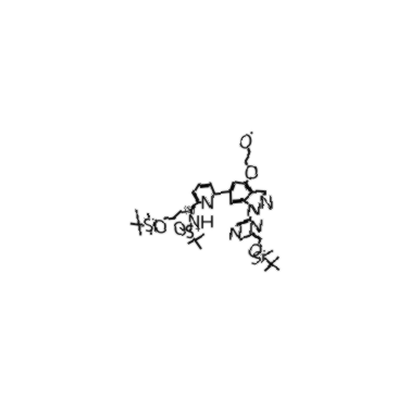 COCCOc1cc(-c2cccc([C@H](CCCO[Si](C)(C)C(C)(C)C)N[S+]([O-])C(C)(C)C)n2)cc2c1cnn2-c1cncc(CO[Si](C)(C)C(C)(C)C)n1